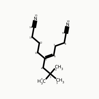 CC(C)(C)CC(=CCCC#N)CCCC#N